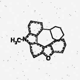 Cn1c2cccc(C3CCCCC3)c2c2c3c(ccc21)oc1ccccc13